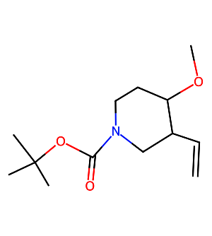 C=CC1CN(C(=O)OC(C)(C)C)CCC1OC